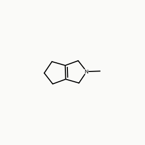 CN1CC2=C(CCC2)C1